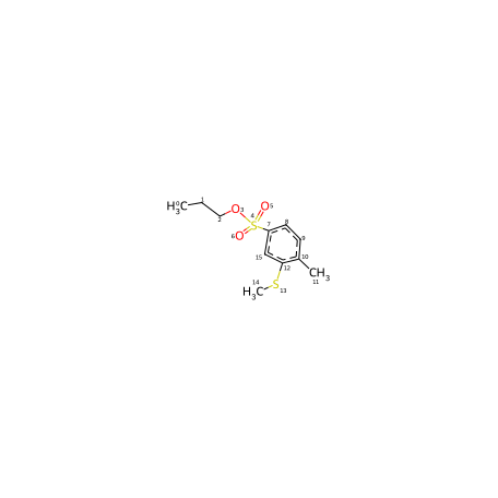 CCCOS(=O)(=O)c1ccc(C)c(SC)c1